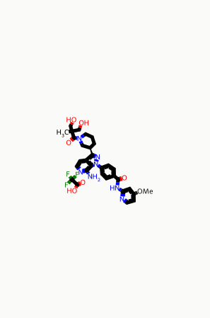 COc1ccnc(NC(=O)c2ccc(-n3nc([C@@H]4CCCN(C(=O)C(C)(CO)CO)C4)c4ccnc(N)c43)cc2)c1.O=C(O)C(F)(F)F